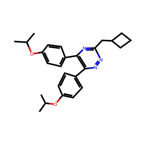 CC(C)Oc1ccc(-c2nnc(CC3CCC3)nc2-c2ccc(OC(C)C)cc2)cc1